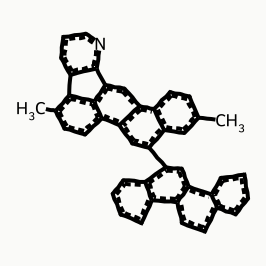 Cc1ccc2c(c1)c(-c1cc3c4ccccc4ccc3c3ccccc13)cc1c3ccc(C)c4c3c(cc21)-c1ncccc1-4